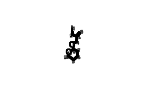 C=C(CI)COC1CCCCO1